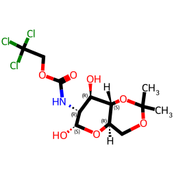 CC1(C)OC[C@H]2O[C@H](O)[C@H](NC(=O)OCC(Cl)(Cl)Cl)[C@@H](O)[C@@H]2O1